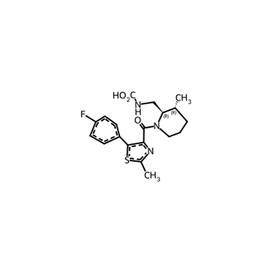 Cc1nc(C(=O)N2CCC[C@@H](C)[C@@H]2CNC(=O)O)c(-c2ccc(F)cc2)s1